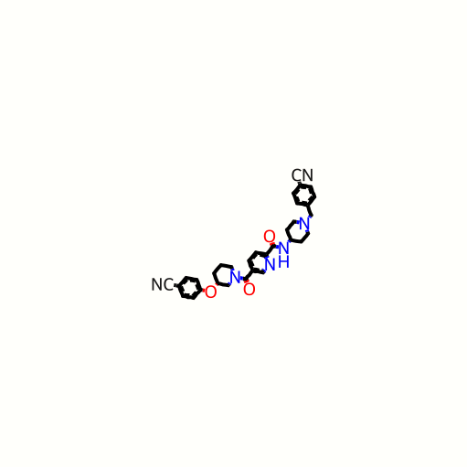 N#Cc1ccc(CN2CCC(NC(=O)c3ccc(C(=O)N4CCCC(Oc5ccc(C#N)cc5)C4)cn3)CC2)cc1